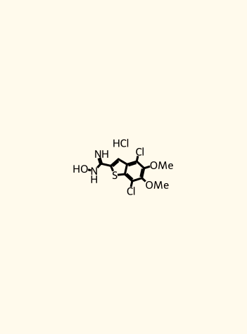 COc1c(OC)c(Cl)c2sc(C(=N)NO)cc2c1Cl.Cl